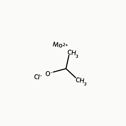 CC(C)[O-].[Cl-].[Mo+2]